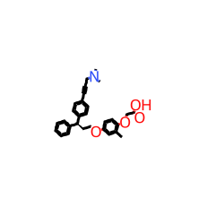 Cc1cc(OCC[C@@H](c2ccccc2)c2ccc(C#CCN(C)C)cc2)ccc1OCC(=O)O